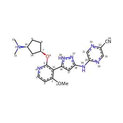 COc1ccnc(O[C@@H]2CC[C@H](N(C)C)C2)c1-c1cc(Nc2cnc(C#N)cn2)n[nH]1